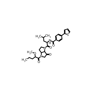 CCCC(OC)C(=O)N1CC(=O)C2C1CCN2C(=O)C(CC(C)C)NC(=O)c1ccc(-c2cccs2)cc1